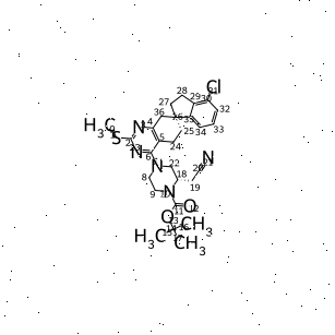 CSc1nc2c(c(N3CCN(C(=O)OC(C)(C)C)[C@@H](CC#N)C3)n1)CC[C@@]1(CCc3c(Cl)cccc31)C2